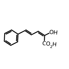 O=C(O)/C(O)=C\C=C\c1ccccc1